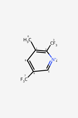 CC1=C(C(F)(F)F)[N+]=[C]C(C(F)(F)F)=[C]1